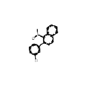 C[S+]([O-])c1c(-c2cccc(Cl)c2)ccc2ccccc12